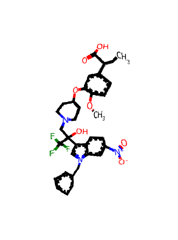 CCC(C(=O)O)c1ccc(OC)c(OC2CCN(CC(O)(c3cn(Cc4ccccc4)c4cc([N+](=O)[O-])ccc34)C(F)(F)F)CC2)c1